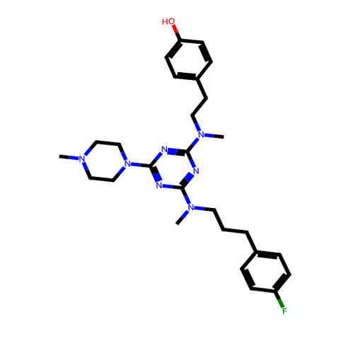 CN1CCN(c2nc(N(C)CCCc3ccc(F)cc3)nc(N(C)CCc3ccc(O)cc3)n2)CC1